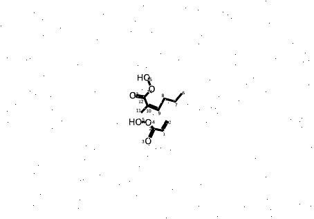 C=CC(=O)OO.CCCC=C(C)C(=O)OO